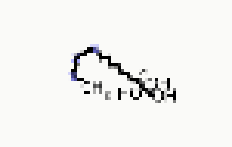 CC/C=C\C/C=C\C/C=C\CCCCCCCC(=O)C(O)C(O)CO